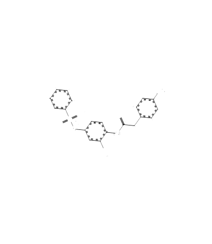 N#Cc1ccc(CC(=O)Nc2ccc(NS(=O)(=O)c3ccccc3)cc2C(F)(F)F)cc1